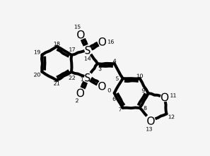 O=S1(=O)C(=Cc2ccc3c(c2)OCO3)S(=O)(=O)c2ccccc21